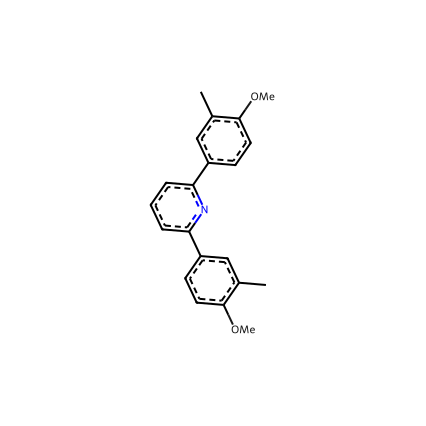 COc1ccc(-c2cccc(-c3ccc(OC)c(C)c3)n2)cc1C